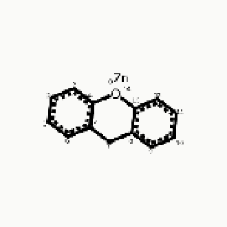 [Zn].c1ccc2c(c1)Cc1ccccc1O2